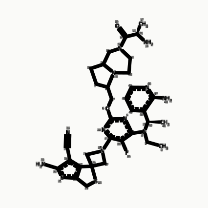 CCN(c1nc(OCC2CCC3CN(C(=O)[C@@H](C)N)CCN23)nc(N2CC3(C2)SCc2sc(N)c(C#N)c23)c1F)[C@H](C)c1cccnc1N